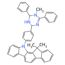 CN1C(c2ccccc2)=NC(c2ccc(-n3c4ccccc4c4ccc5c(c43)C(C)(C)c3ccccc3-5)cc2)NC1c1ccccc1